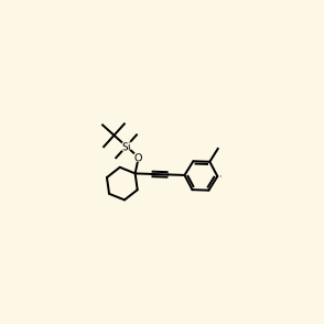 Cc1[c]ccc(C#CC2(O[Si](C)(C)C(C)(C)C)CCCCC2)c1